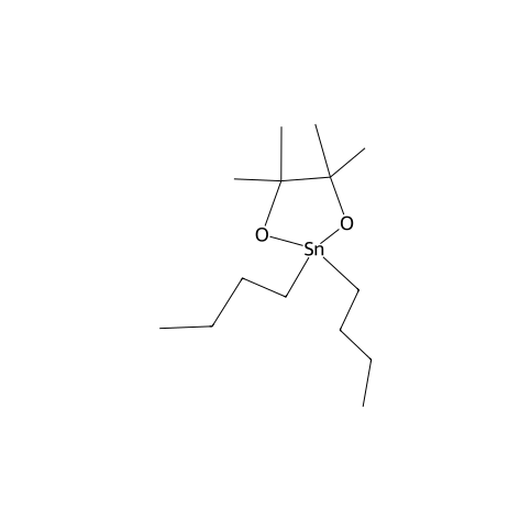 CCC[CH2][Sn]1([CH2]CCC)[O]C(C)(C)C(C)(C)[O]1